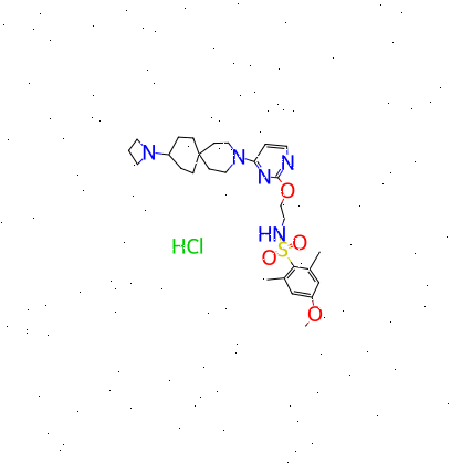 COc1cc(C)c(S(=O)(=O)NCCOc2nccc(N3CCC4(CCC(N5CCC5)CC4)CC3)n2)c(C)c1.Cl